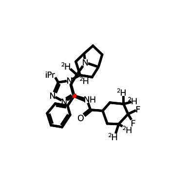 [2H]C([2H])(CC(NC(=O)C1CC([2H])([2H])C(F)(F)C([2H])([2H])C1)c1ccccc1)N1C2CCC1CC(n1c(C)nnc1C(C)C)C2